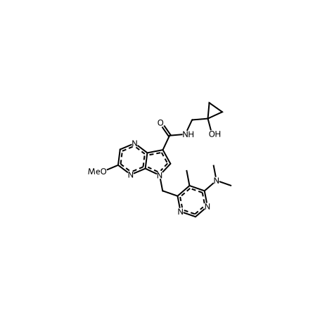 COc1cnc2c(C(=O)NCC3(O)CC3)cn(Cc3ncnc(N(C)C)c3C)c2n1